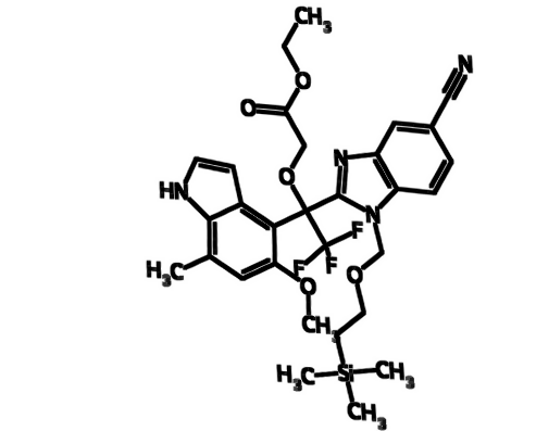 CCOC(=O)COC(c1c(OC)cc(C)c2[nH]ccc12)(c1nc2cc(C#N)ccc2n1COCC[Si](C)(C)C)C(F)(F)F